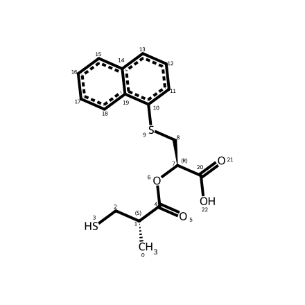 C[C@H](CS)C(=O)O[C@@H](CSc1cccc2ccccc12)C(=O)O